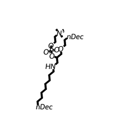 CCCCCCCCCCCCCCCCCCNCC(COCCCCCCCCCCCC)OP(=O)([O-])OCC[N+](C)(C)C